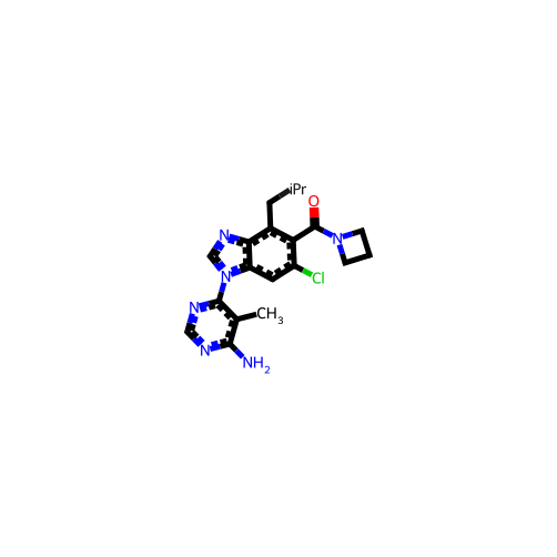 Cc1c(N)ncnc1-n1cnc2c(CC(C)C)c(C(=O)N3CCC3)c(Cl)cc21